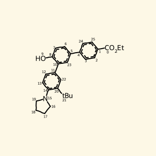 CCOC(=O)c1ccc(-c2ccc(O)c(-c3ccc(N4CCCC4)c(C(C)(C)C)c3)c2)cc1